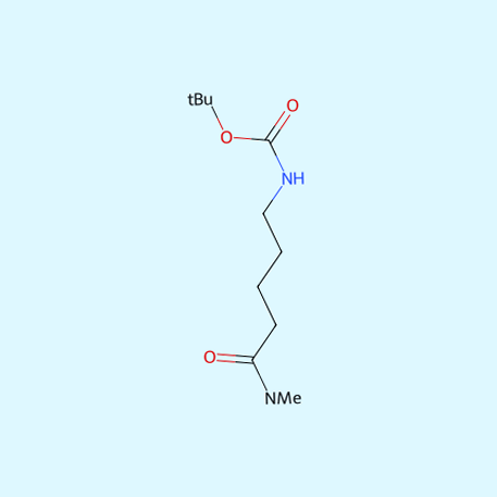 CNC(=O)CCCCNC(=O)OC(C)(C)C